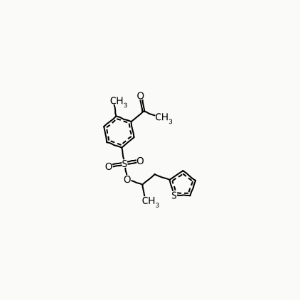 CC(=O)c1cc(S(=O)(=O)OC(C)Cc2cccs2)ccc1C